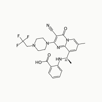 Cc1cc([C@@H](C)Nc2ccccc2C(=O)O)c2nc(N3CCN(CC(F)(F)F)CC3)c(C#N)c(=O)n2c1